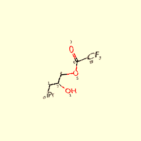 CC(C)CC(O)COC(=O)C(F)(F)F